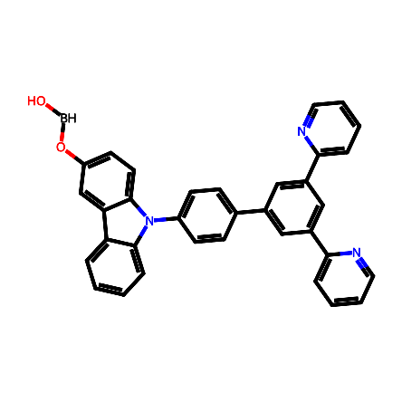 OBOc1ccc2c(c1)c1ccccc1n2-c1ccc(-c2cc(-c3ccccn3)cc(-c3ccccn3)c2)cc1